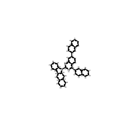 c1ccc2cc(-c3ccc4c(-c5ccc6ccccc6c5)nc(-n5c6ccccc6c6cc7ccccc7cc65)nc4c3)ccc2c1